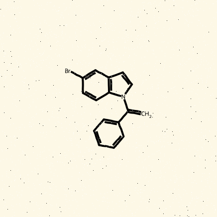 C=C(c1ccccc1)n1ccc2cc(Br)ccc21